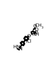 COC(=O)C[C@@H]1C[C@@H](COc2ccc(-c3ccc(C4=NCCN4)cc3)cc2)NC1=O.Cl